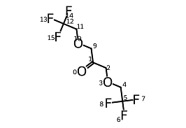 O=C(COCC(F)(F)F)COCC(F)(F)F